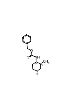 C[C@H]1CNCC[C@H]1NC(=O)OCc1ccccc1